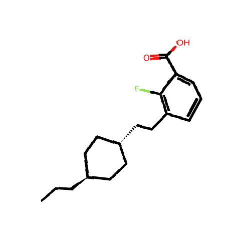 CCC[C@H]1CC[C@H](CCc2cccc(C(=O)O)c2F)CC1